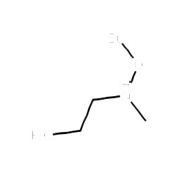 CCO[SiH](C)CCC(F)(F)F